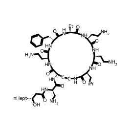 CCCCCCC[C@@H](O)CC(=O)N[C@H](CN)C(=O)N[C@H]1CCNC(=O)[C@H](CC(C)C)NC(=O)[C@H](CCN)NC(=O)[C@H](CCN)NC(=O)[C@H](CC)NC(=O)[C@@H](Cc2ccccc2)NC(=O)[C@H](CCN)NC1=O